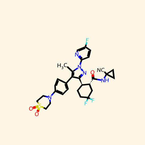 Cc1c(-c2ccc(N3CCS(=O)(=O)CC3)cc2)c([C@@H]2CCC(F)(F)C[C@H]2C(=O)NC2(C#N)CC2)nn1-c1ccc(F)cn1